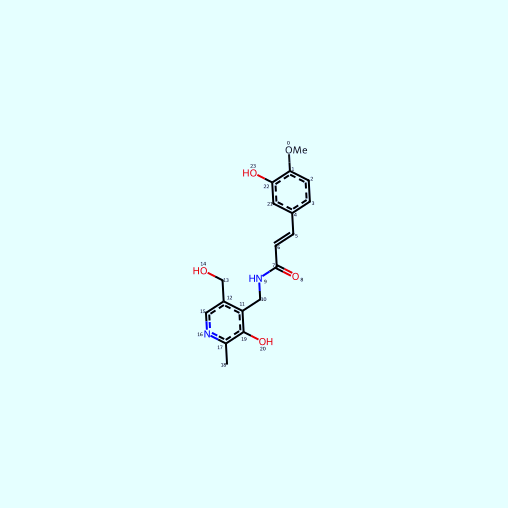 COc1ccc(/C=C/C(=O)NCc2c(CO)cnc(C)c2O)cc1O